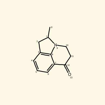 CC1Cc2cccc3c2N1CCC3=O